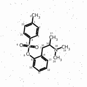 Cc1ccc(S(=O)(=O)Oc2ccccc2CC(C)N(C)C)cc1